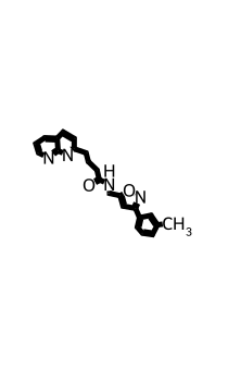 Cc1cccc(-c2cc(CNC(=O)CCCc3ccc4cccnc4n3)on2)c1